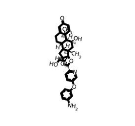 C[C@]12C=CC(=O)C=C1CC[C@@H]1[C@@H]2[C@@H](O)C[C@@]2(C)[C@H]1C[C@H]1O[C@@H](c3ccc(Oc4cccc(N)c4)cn3)O[C@]12C(=O)CO